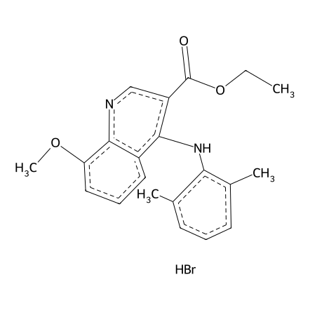 Br.CCOC(=O)c1cnc2c(OC)cccc2c1Nc1c(C)cccc1C